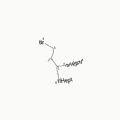 CCCCCCCC(CCBr)CCCCCCC